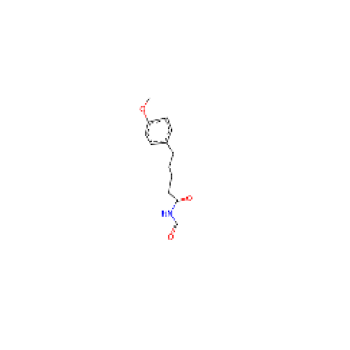 COc1ccc(CCCCC(=O)NC=O)cc1